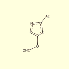 CC(=O)c1ncc(OC=O)s1